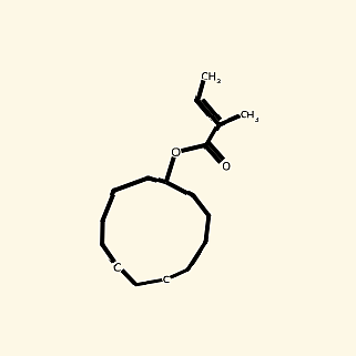 CC=C(C)C(=O)OC1CCCCCCCCCCC1